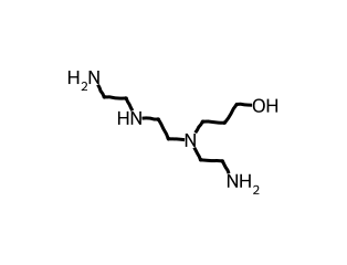 NCCNCCN(CCN)CCCO